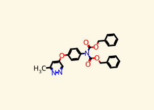 Cc1cc(Oc2ccc(N(C(=O)OCc3ccccc3)C(=O)OCc3ccccc3)cc2)cnn1